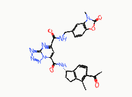 CC(=O)c1ccc2c(c1C)CC[C@@H]2NC(=O)c1cc(C(=O)NCc2ccc3oc(=O)n(C)c3c2)nc2nnnn12